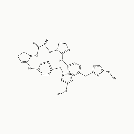 CC(C)Oc1ccc(Cc2ccc(NC3=NCCN3OC(=O)C(=O)ON3CCN=C3Nc3ccc(Cc4ccc(OC(C)C)s4)cc3)cc2)s1